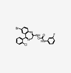 O=C(Nc1cccc(F)c1)ONC1=Nc2ccc(Br)cc2C(c2ccccc2Cl)=NC1